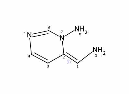 N/C=C1/C=CN=CN1N